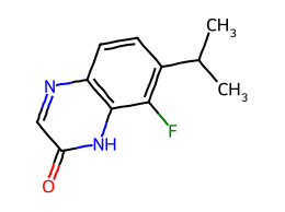 CC(C)c1ccc2ncc(=O)[nH]c2c1F